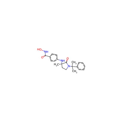 CC1(Nc2ccc(C(=O)NO)cc2)CCN(C(C)(C)c2ccccc2)C1=O